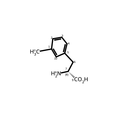 Cc1cccc(C[C@@H](N)C(=O)O)c1